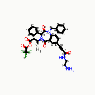 CC(CC(=O)OC(=O)C(F)(F)F)N1C(=O)c2cc(C#CC(=O)NCCN)ccc2N(Cc2ccccc2)C(=O)C1c1ccccc1